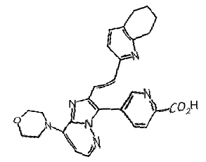 O=C(O)c1ccc(-c2c(/C=C/c3ccc4c(n3)CCCC4)nc3c(N4CCOCC4)ccnn23)cn1